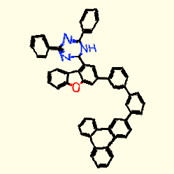 c1ccc(C2=NC(c3cc(-c4cccc(-c5cccc(-c6ccc7c8ccccc8c8ccccc8c7c6)c5)c4)cc4oc5ccccc5c34)NC(c3ccccc3)=N2)cc1